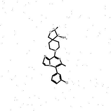 Cc1nc(N2CCC3(CC2)CO[C@@H](C)[C@H]3N)c2nccn2c1-c1cccc(Cl)c1